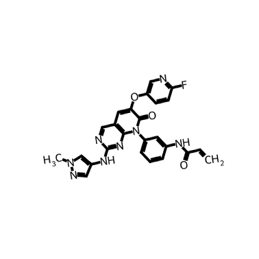 C=CC(=O)Nc1cccc(-n2c(=O)c(Oc3ccc(F)nc3)cc3cnc(Nc4cnn(C)c4)nc32)c1